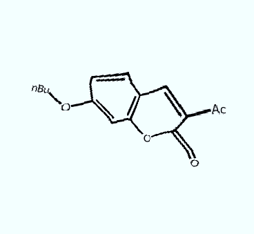 CCCCOc1ccc2cc(C(C)=O)c(=O)oc2c1